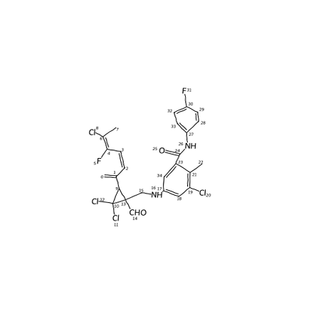 C=C(/C=C\C(F)=C(/C)Cl)C1C(Cl)(Cl)C1(C=O)CNc1cc(Cl)c(C)c(C(=O)Nc2ccc(F)cc2)c1